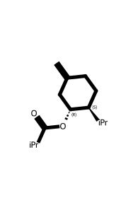 C=C1CC[C@@H](C(C)C)[C@H](OC(=O)C(C)C)C1